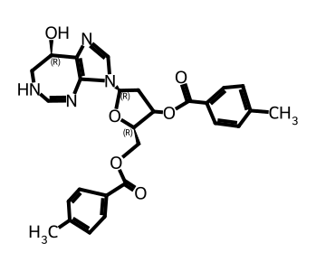 Cc1ccc(C(=O)OC[C@H]2O[C@@H](n3cnc4c3N=CNC[C@H]4O)CC2OC(=O)c2ccc(C)cc2)cc1